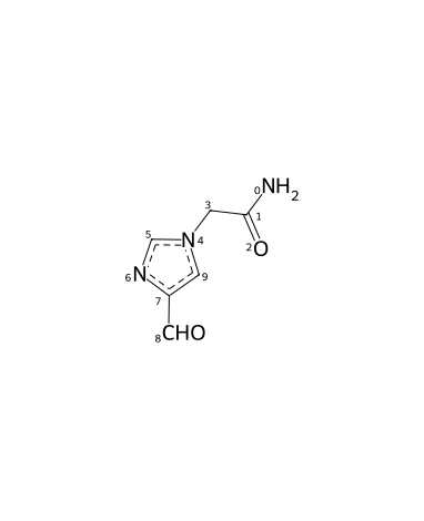 NC(=O)Cn1cnc(C=O)c1